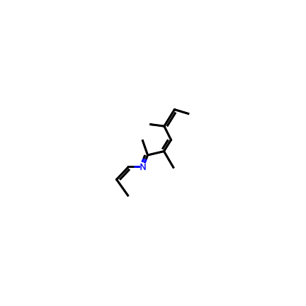 C\C=C/N=C(C)/C(C)=C\C(C)=C/C